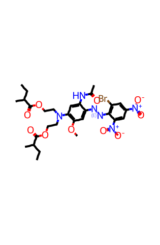 CCC(C)C(=O)OCCN(CCOC(=O)C(C)CC)c1cc(NC(C)=O)c(/N=N/c2c(Br)cc([N+](=O)[O-])cc2[N+](=O)[O-])cc1OC